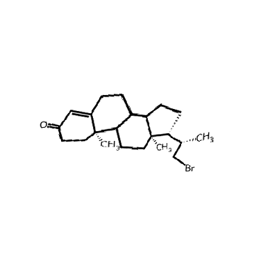 C[C@H](CBr)[C@H]1CCC2C3CCC4=CC(=O)CC[C@]4(C)C3CC[C@@]21C